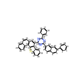 c1ccc(-c2ccc3ccc(-c4nc(-c5ccccc5)nc(-c5cc6ccc7ccccc7c6c6sc7ccccc7c56)n4)cc3c2)cc1